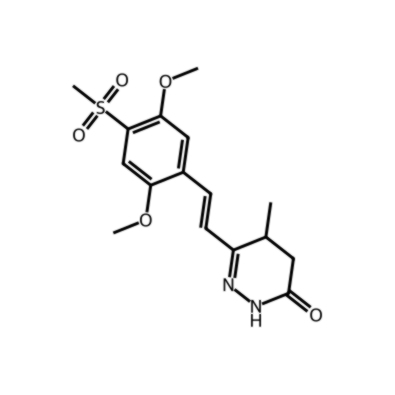 COc1cc(S(C)(=O)=O)c(OC)cc1C=CC1=NNC(=O)CC1C